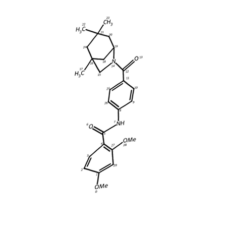 COc1ccc(C(=O)Nc2ccc(C(=O)N3CC4(C)CC3CC(C)(C)C4)cc2)c(OC)c1